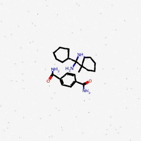 CC1(C(N)(N)C2CCCCC2)CCCCC1.NC(=O)c1ccc(C(N)=O)cc1